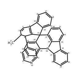 CC1C=CC2=C(C1c1ccncc1)C1(c3ccccc32)c2ccccc2-n2c3ccccc3c3cccc1c32